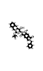 COc1cc2c(cc1C(=O)NC[C@@H](O)[C@@H]1Cc3ccccc3CN1C(=O)OC(C)(C)C)CN(Cc1ccccc1)C2=O